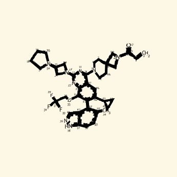 C=CC(=O)N1CC2(CCN(c3nc(N4CC(N5CCCC5)C4)nc4c(OCC(F)(F)F)c(-c5c(C)ccc6[nH]ncc56)c(C5CC5)cc34)CC2)C1